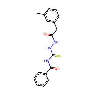 Cc1cccc(CC(=O)NNC(=S)NC(=O)c2ccccc2)c1